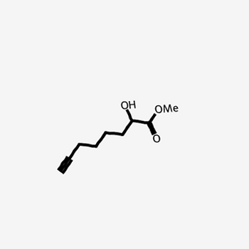 C#CCCCCC(O)C(=O)OC